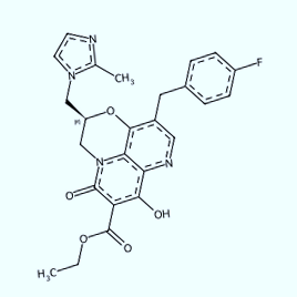 CCOC(=O)c1c(O)c2ncc(Cc3ccc(F)cc3)c3c2n(c1=O)C[C@@H](Cn1ccnc1C)O3